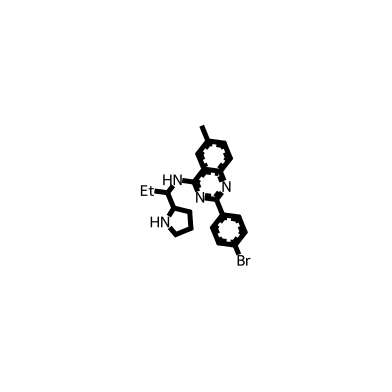 CCC(Nc1nc(-c2ccc(Br)cc2)nc2ccc(C)cc12)C1CCCN1